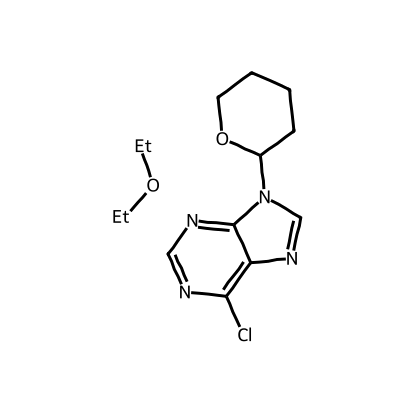 CCOCC.Clc1ncnc2c1ncn2C1CCCCO1